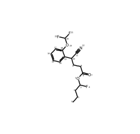 CCCC(F)OC(=O)CCC(C#N)c1ccccc1OC(F)F